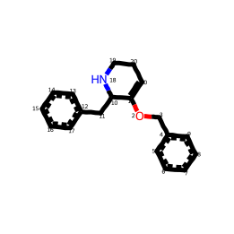 C1=C(OCc2ccccc2)C(Cc2ccccc2)NCC1